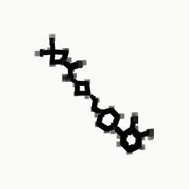 O=C(N[C@H]1C[C@@H](CCN2CCN(c3cccc(Cl)c3Cl)CC2)C1)N1CC(F)(F)C1